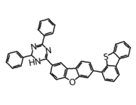 c1ccc(C2=NC(c3ccccc3)NC(c3ccc4oc5cc(-c6cccc7c6sc6ccccc67)ccc5c4c3)=N2)cc1